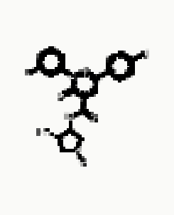 O=C(N[C@H]1C[S+]([O-])C[C@H]1O)c1cc(-c2ccc(Cl)cc2)nn(-c2cccc(F)c2)c1=O